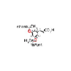 CCCCCC(C)Oc1cc(C=CC(=O)O)cc(OC(C)CCCCC)c1